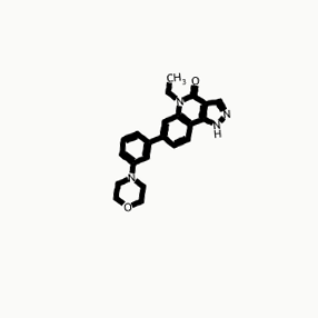 CCn1c(=O)c2cn[nH]c2c2ccc(-c3cccc(N4CCOCC4)c3)cc21